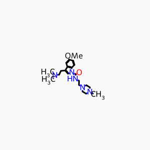 COc1ccc2c(c1)c(CCN(C)C)cn2C(=O)NCCN1CCN(C)CC1